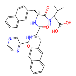 CC(C)C(NC(=O)[C@H](Cc1ccc2ccccc2c1)NC(=O)[C@H](Cc1ccc2ccccc2c1)NC(=O)c1cnccn1)B(O)O